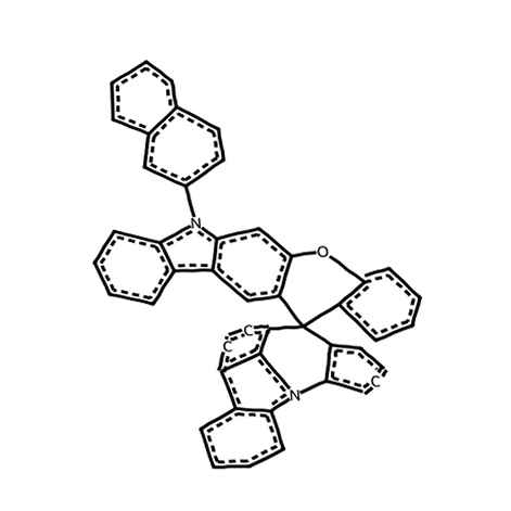 c1ccc2c(c1)Oc1cc3c(cc1C21c2ccccc2-n2c4ccccc4c4cccc1c42)c1ccccc1n3-c1ccc2ccccc2c1